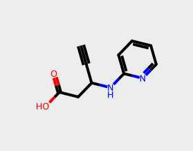 C#CC(CC(=O)O)Nc1ccccn1